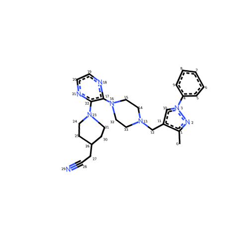 Cc1nn(-c2ccccc2)cc1CN1CCN(c2nccnc2N2CCC(CC#N)CC2)CC1